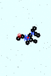 c1ccc(-c2cccc(-c3cc(-n4c5cc6ccccc6cc5c5c6ccccc6ccc54)ccc3-c3nc(-c4ccccc4)nc(-c4ccc5oc6ccccc6c5c4)n3)c2)cc1